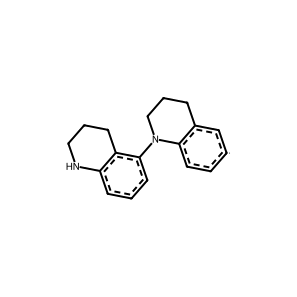 [c]1ccc2c(c1)CCCN2c1cccc2c1CCCN2